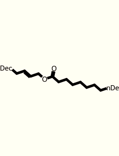 CCCCCCCCCCC/C=C/COC(=O)CCCCCCCCCCCCCCCCC